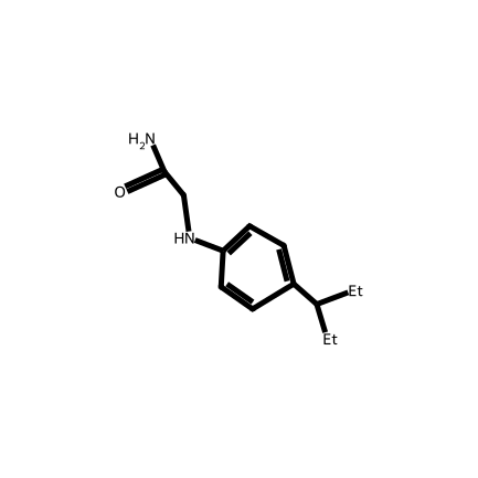 CCC(CC)c1ccc(NCC(N)=O)cc1